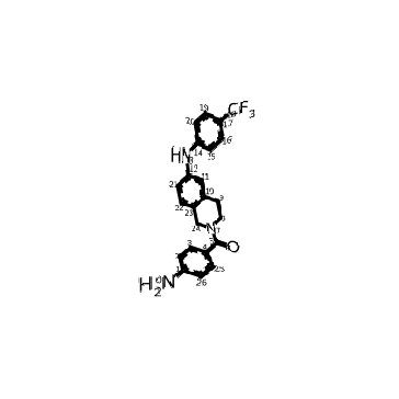 Nc1ccc(C(=O)N2CCc3cc(Nc4ccc(C(F)(F)F)cc4)ccc3C2)cc1